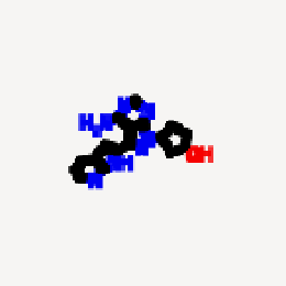 Nc1ncnc2c1c(-c1cc3cccnc3[nH]1)nn2C1CCC(O)C1